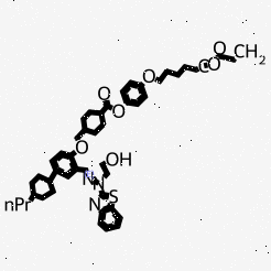 C=CC(=O)OCCCCCCOc1ccc(OC(=O)C2CCC(COc3ccc(C4CCC(CCC)CC4)cc3/C=N/N(CCO)c3nc4ccccc4s3)CC2)cc1